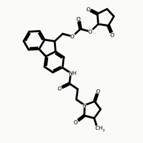 CC1CC(=O)N(CCC(=O)Nc2ccc3c(c2)C(COC(=O)OC2C(=O)CCC2=O)c2ccccc2-3)C1=O